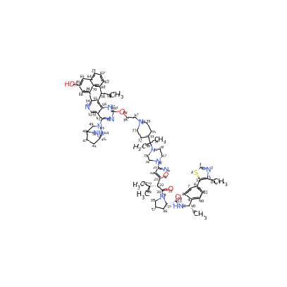 Cc1ncsc1-c1ccc([C@H](C)NC(=O)[C@@H]2CCCN2C(=O)[C@@H](c2cc(N3CCN(C(C)(C)C4CCN(CCOc5nc(N6CC7CCC(C6)N7)c6cnc7c(c6n5)C(C)c5cccc6cc(O)cc-7c56)CC4)CC3)no2)C(C)C)cc1